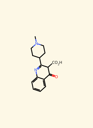 CN1CCC(C2=Nc3ccccc3C(=O)C2C(=O)O)CC1